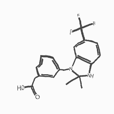 CC1(C)Nc2ccc(C(F)(F)F)cc2N1c1cccc(C(=O)O)c1